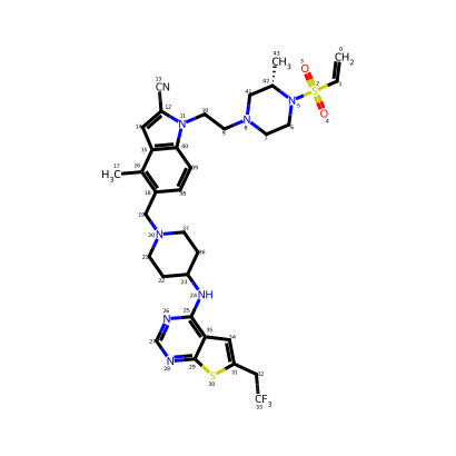 C=CS(=O)(=O)N1CCN(CCn2c(C#N)cc3c(C)c(CN4CCC(Nc5ncnc6sc(CC(F)(F)F)cc56)CC4)ccc32)C[C@@H]1C